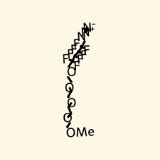 COCCOCCOCCOCCOCC(F)(F)C(F)(F)C(F)(F)C(F)(F)CN=[N+]=[N-]